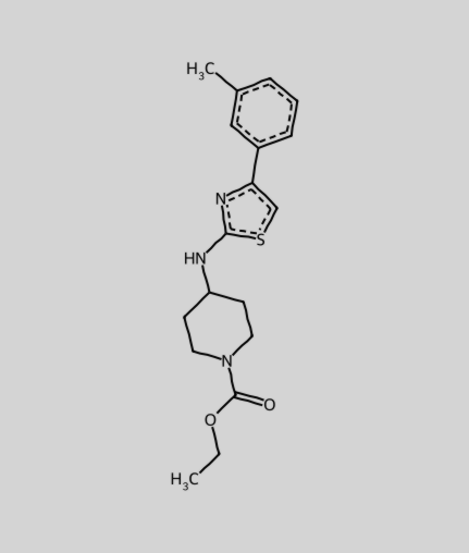 CCOC(=O)N1CCC(Nc2nc(-c3cccc(C)c3)cs2)CC1